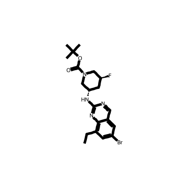 CCc1cc(Br)cc2cnc(N[C@H]3C[C@H](F)CN(C(=O)OC(C)(C)C)C3)nc12